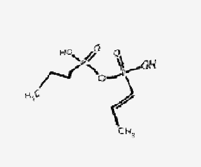 CC=CP(=O)(O)OP(=O)(O)CCC